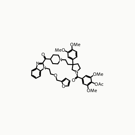 COc1ccc(C2(CCN3CCC(C(=O)c4nc5ccccc5n4CCOCc4ccco4)CC3)CCN(C(=O)c3cc(OC)c(OC(C)=O)c(OC)c3)C2)cc1OC